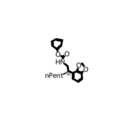 CCCCC[C@@H](CNC(=O)Oc1ccccc1)c1cccc2c1OCO2